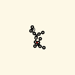 C1=CC(c2ccc(-c3ccccc3-n3c4ccc(-c5ccccc5)cc4c4cc(-c5ccccc5)ccc43)cc2)CC=C1N(c1ccc(-c2ccccc2)cc1)c1ccc(-c2cccc3c2oc2ccccc23)cc1